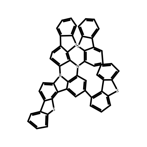 c1ccc2c(c1)sc1c(N3c4cc(-c5cccc6sc7ccccc7c56)cc5c4B(c4ccc6c(sc7ccccc76)c4-5)c4ccc5c(sc6ccccc65)c43)cccc12